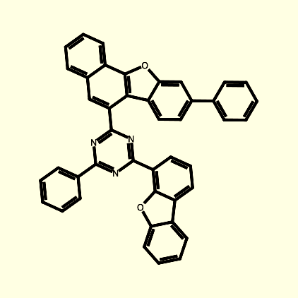 c1ccc(-c2ccc3c(c2)oc2c4ccccc4cc(-c4nc(-c5ccccc5)nc(-c5cccc6c5oc5ccccc56)n4)c32)cc1